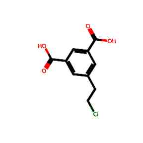 O=C(O)c1cc(CCCl)cc(C(=O)O)c1